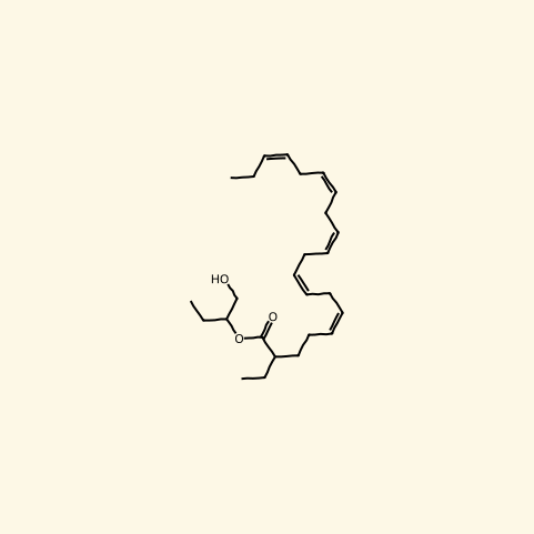 CC/C=C\C/C=C\C/C=C\C/C=C\C/C=C\CCC(CC)C(=O)OC(CC)CO